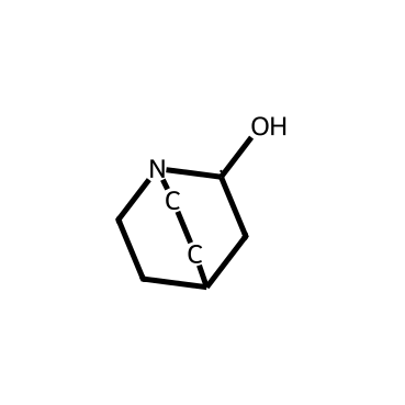 O[C]1CC2CCN1CC2